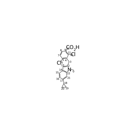 Cn1c(Cc2c(Cl)ccc(C(=O)O)c2Cl)cc2ccc(C3CC3)cc21